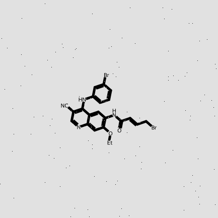 CCOc1cc2ncc(C#N)c(Nc3cccc(Br)c3)c2cc1NC(=O)C=CCBr